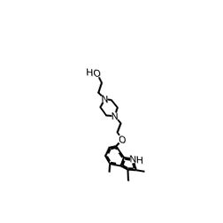 Cc1[nH]c2c(OCCN3CCN(CCO)CC3)ccc(C)c2c1C